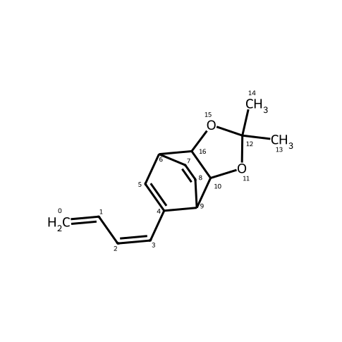 C=C/C=C\C1=CC2C=CC1C1OC(C)(C)OC21